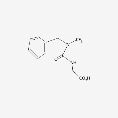 O=C(O)CNC(=O)N(Cc1ccccc1)C(F)(F)F